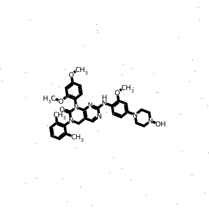 COc1ccc(N2C(=O)N(c3c(C)cccc3C)Cc3cnc(Nc4ccc(N5CCN(O)CC5)cc4OC)nc32)c(OC)c1